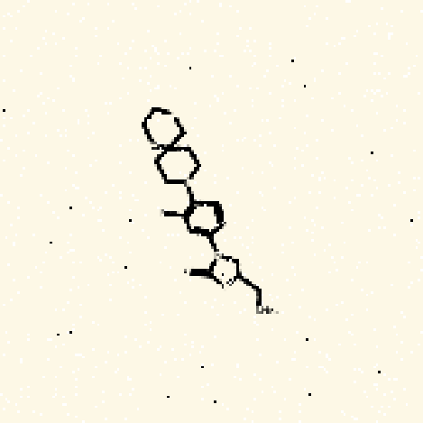 CC(=O)NCC1CN(c2ccc(N3CCC4(CC3)CSCCO4)c(F)c2)C(=O)O1